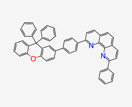 c1ccc(-c2ccc3ccc4ccc(-c5ccc(-c6ccc7c(c6)C(c6ccccc6)(c6ccccc6)c6ccccc6O7)cc5)nc4c3n2)cc1